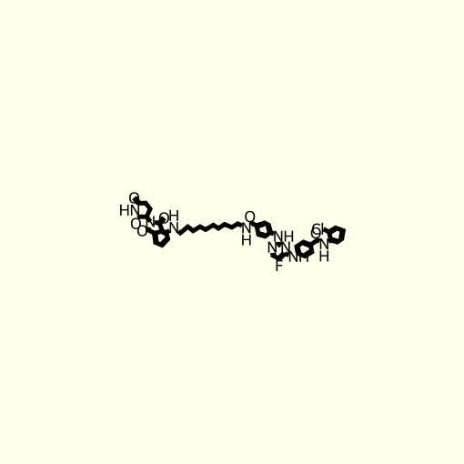 O=C1CCC(N2C(=O)c3cccc(NCCCCCCCCCCNC(=O)c4ccc(Nc5ncc(F)c(Nc6ccc(C(=O)Nc7ccccc7Cl)cc6)n5)cc4)c3C2=O)C(=O)N1